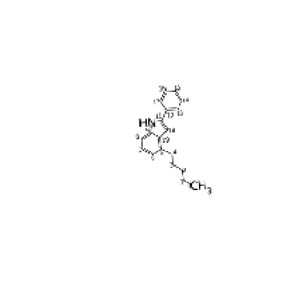 CCCCCc1cccc2[nH]c(-c3ccccc3)[c]c12